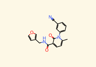 Cc1ccc(C(=O)NCc2ccoc2)c(=O)n1-c1cccc(C#N)c1